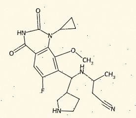 COc1c(C(NC(C)CC#N)C2CCNC2)c(F)cc2c(=O)[nH]c(=O)n(C3CC3)c12